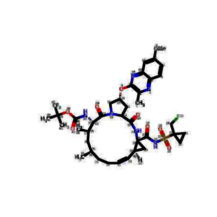 COc1ccc2nc(C)c(O[C@@H]3CC4C(=O)N[C@]5(C(=O)NS(=O)(=O)C6(CF)CC6)C[C@H]5/C=C\CC[C@@H](C)C[C@@H](C)[C@H](NC(=O)OC(C)(C)C(F)(F)F)C(=O)N4C3)nc2c1